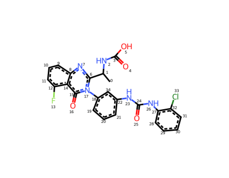 CC(NC(=O)O)c1nc2cccc(F)c2c(=O)n1-c1cccc(NC(=O)Nc2ccccc2Cl)c1